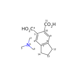 CN(C)C.O=C(O)c1cc2c(cc1C(=O)O)CCC2